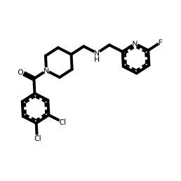 O=C(c1ccc(Cl)c(Cl)c1)N1CCC(CNCc2cccc(F)n2)CC1